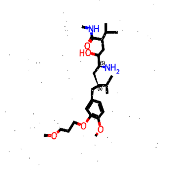 CNC(=O)C(CC(O)[C@@H](N)C[C@H](Cc1ccc(OC)c(OCCCOC)c1)C(C)C)C(C)C